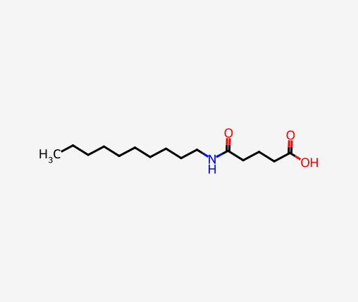 CCCCCCCCCCNC(=O)CCCC(=O)O